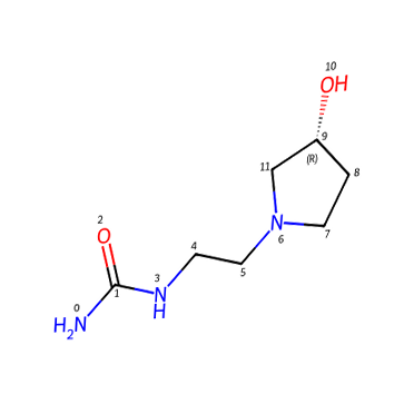 NC(=O)NCCN1CC[C@@H](O)C1